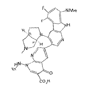 CCNn1cc(C(=O)O)c(=O)c2cc(-c3cnc4[nH]c5c(NC)cc(F)c(F)c5c4c3N3CC[C@@H]4CN(C)C[C@@H]43)cnc21